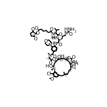 COc1cc2cc(c1Cl)N(C)C(O)C[C@H](OC(=O)[C@H](C)N(C)C(=O)c1ccc(NC(=O)[C@H](CCCNC(N)=O)NC(=O)[C@@H](NC(=O)CCCCC(=O)ON3C(=O)CCC3=O)C(C)C)c(N3CCOCC3)c1)[C@]1(C)O[C@H]1[C@H](C)[C@@H]1C[C@@](O)(NC(=O)O1)[C@H](OC)/C=C/C=C(\C)C2